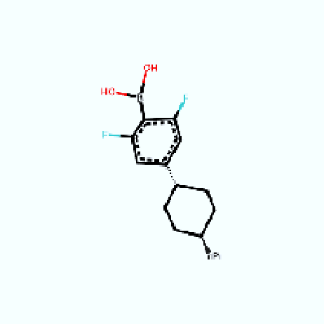 CCC[C@H]1CC[C@H](c2cc(F)c(B(O)O)c(F)c2)CC1